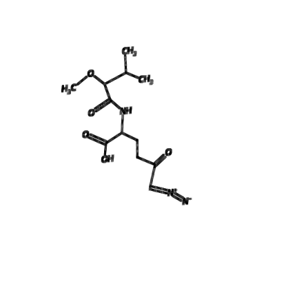 COC(C(=O)NC(CCC(=O)C=[N+]=[N-])C(=O)O)C(C)C